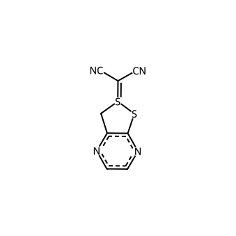 N#CC(C#N)=S1Cc2nccnc2S1